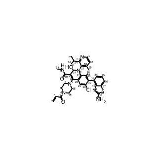 C=CC(=O)N1CCN(C2=C(C(=O)NC)C(O)N(c3c(C)ccnc3C(C)C)c3c2cc(Cl)c(-c2cccc4sc(N)nc24)c3F)CC1